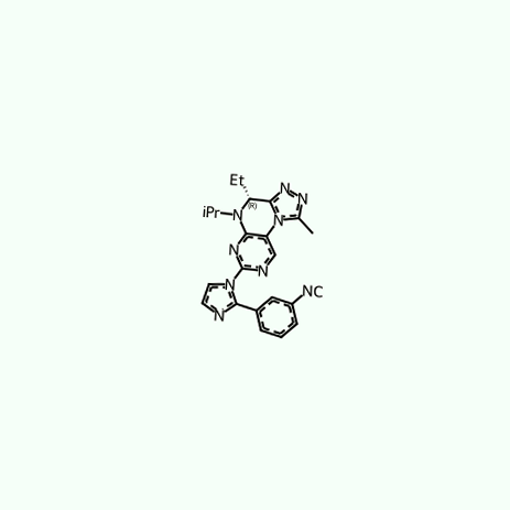 [C-]#[N+]c1cccc(-c2nccn2-c2ncc3c(n2)N(C(C)C)[C@H](CC)c2nnc(C)n2-3)c1